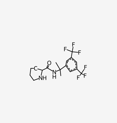 CC(C)(NC(=O)C1CCCCN1)c1cc(C(F)(F)F)cc(C(F)(F)F)c1